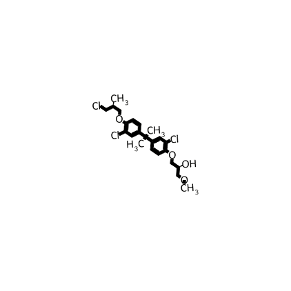 COC[C@@H](O)COc1ccc(C(C)(C)c2ccc(OC[C@@H](C)CCl)c(Cl)c2)cc1Cl